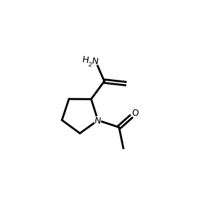 C=C(N)C1CCCN1C(C)=O